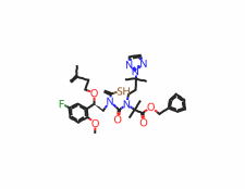 C=C(C)CCO[C@@H](CN(C(=C)S)C(=O)N(CCC(C)(C)n1nccn1)C(C)(C)C(=O)OCc1ccccc1)c1cc(F)ccc1OC